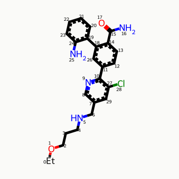 CCOCCCNCc1cnc(-c2ccc(C(N)=O)c(-c3ccccc3N)c2)c(Cl)c1